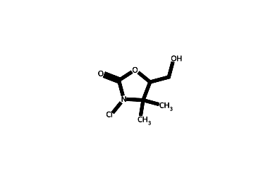 CC1(C)C(CO)OC(=O)N1Cl